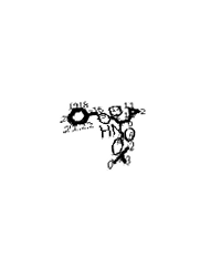 CC(C)(C)OC(=O)N/C(=C/C1CC1)C(=O)OCc1ccccc1